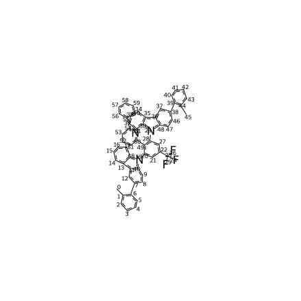 Cc1ccccc1-c1ccc2c(c1)c1ccccc1n2-c1cc(C(F)(F)F)cc(-n2c3ccccc3c3cc(-c4ccccc4C)ccc32)c1-c1cccc(-c2ccccc2)n1